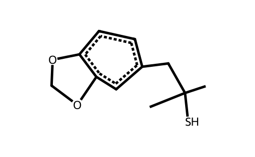 CC(C)(S)Cc1ccc2c(c1)OCO2